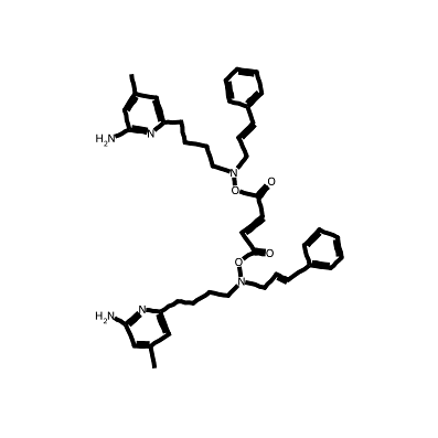 Cc1cc(N)nc(CCCCN(C/C=C/c2ccccc2)OC(=O)/C=C/C(=O)ON(C/C=C/c2ccccc2)CCCCc2cc(C)cc(N)n2)c1